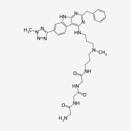 CN(CCCNC(=O)CNC(=O)CNC(=O)CN)CCCNc1nc(Cc2ccccc2)nc2[nH]c3cc(-c4nnn(C)n4)ccc3c12